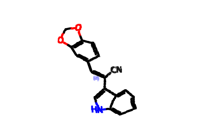 N#C/C(=C\c1ccc2c(c1)OCO2)c1c[nH]c2ccccc12